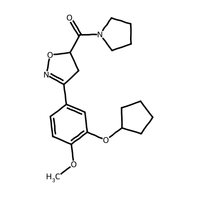 COc1ccc(C2=NOC(C(=O)N3CCCC3)C2)cc1OC1CCCC1